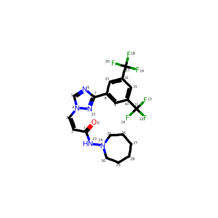 O=C(/C=C\n1cnc(-c2cc(C(F)(F)F)cc(C(F)(F)F)c2)n1)NN1CCCCCC1